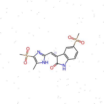 Cc1[nH]c(/C=C2\C(=O)Nc3ccc(S(C)(=O)=O)cc32)nc1S(C)(=O)=O